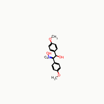 COc1ccc(C(=NO)C(O)c2ccc(OC)cc2)cc1.[Cu]